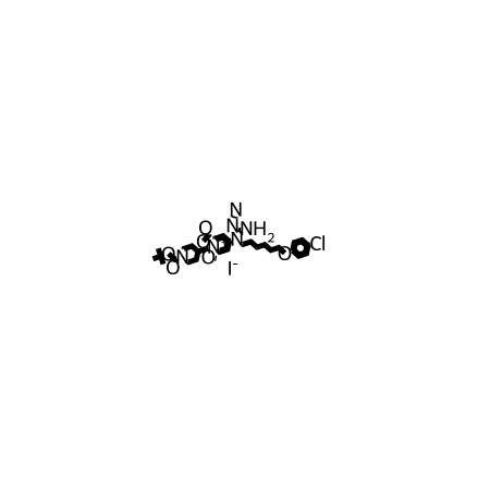 COC(OC=O)(C1CCN(C(=O)OC(C)(C)C)CC1)[n+]1ccc(N(CCCCCCOc2ccc(Cl)cc2)C(N)=NC#N)cc1.[I-]